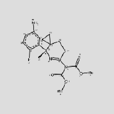 CC(C)(C)OC(=O)N(C(=O)OC(C)(C)C)C1=N[C@](C)(c2cc(N)ccc2F)C2(CC2)CS1